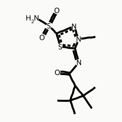 Cn1nc(S(N)(=O)=O)s/c1=N\C(=O)C1C(C)(C)C1(C)C